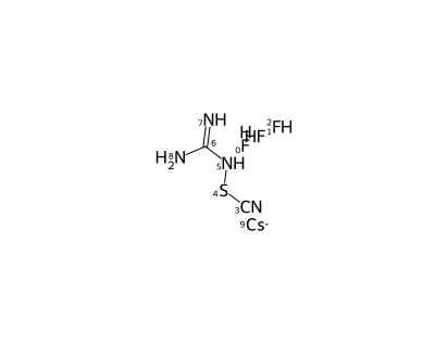 F.F.F.N#CSNC(=N)N.[Cs]